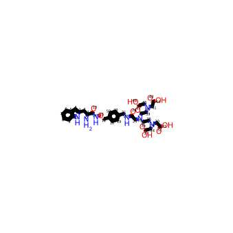 NC(Cc1cc2ccccc2[nH]1)C(=O)NOCc1ccc(CNC(=O)CN(CCN(CC(=O)O)CC(=O)O)CCN(CC(=O)O)CC(=O)O)cc1